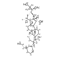 CC(=O)O[C@@H]([C@H]1C[C@@H](C)[C@H]2[C@H](O1)[C@H](O)[C@@]1(C)[C@@H]3CC[C@H]4C(C)(C)[C@@H](O[C@H]5CN(CCO)CCO5)CC[C@@]45C[C@@]35CC[C@]21C)C(C)(C)O